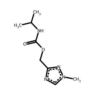 CC(C)NC(=O)OCc1ncn(C)n1